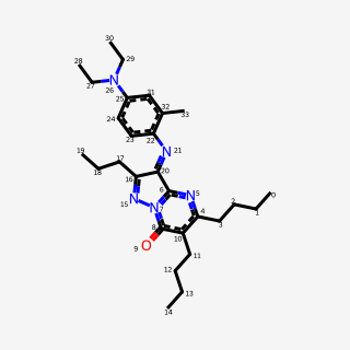 CCCCc1nc2n(c(=O)c1CCCC)N=C(CCC)C2=Nc1ccc(N(CC)CC)cc1C